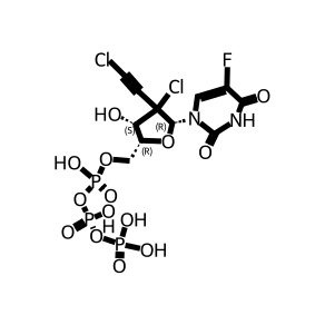 O=c1[nH]c(=O)n([C@@H]2O[C@H](COP(=O)(O)OP(=O)(O)OP(=O)(O)O)[C@H](O)C2(Cl)C#CCl)cc1F